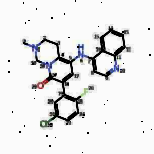 CN1CCc2c(Nc3ccnc4ccccc34)cc(-c3cc(Cl)ccc3F)c(=O)n2C1